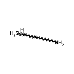 NCCCCCCCCCCCCCCCCCCCCNC[SiH3]